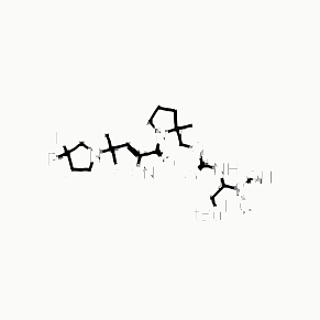 CC(C)(C)CC(NC(=O)OCC1(C)CCCN1C(=O)C(C#N)=CC(C)(C)N1CCC(F)(F)C1)B(O)O